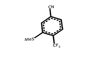 CSc1cc(C#N)ccc1C(F)(F)F